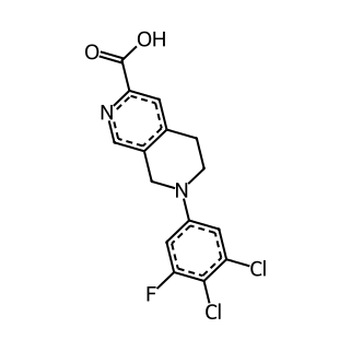 O=C(O)c1cc2c(cn1)CN(c1cc(F)c(Cl)c(Cl)c1)CC2